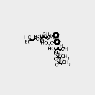 CCC(=O)O.CCC(=O)O.CCC(O)C(C)CO.CCC(O)C(C)CO.CCC(O)CCO.O=C(O)c1ccccc1.O=C(O)c1ccccc1